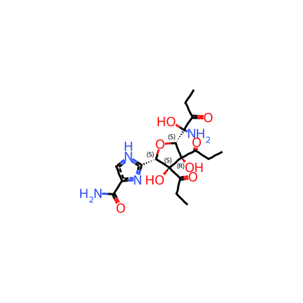 CCC(=O)C(N)(O)[C@H]1O[C@@H](c2nc(C(N)=O)c[nH]2)[C@@](O)(C(=O)CC)[C@@]1(O)C(=O)CC